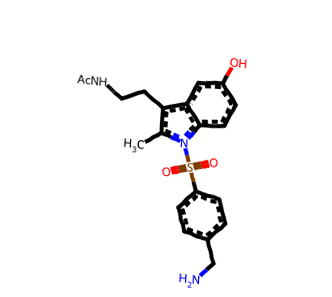 CC(=O)NCCc1c(C)n(S(=O)(=O)c2ccc(CN)cc2)c2ccc(O)cc12